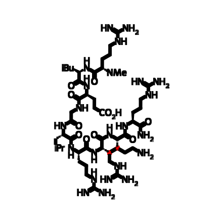 CC[C@H](C)[C@H](NC(=O)[C@H](CCCNC(=N)N)NC)C(=O)N[C@@H](CCC(=O)O)C(=O)NCC(=O)N[C@@H](CC(C)C)C(=O)N[C@@H](CCCNC(=N)N)C(=O)N[C@@H](CCCCN)C(=O)N[C@@H](CCCNC(=N)N)C(=O)N[C@@H](CCCNC(=N)N)C(N)=O